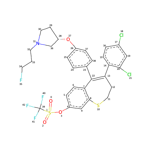 O=S(=O)(Oc1ccc2c(c1)SCCC(c1ccc(Cl)cc1Cl)=C2c1ccc(O[C@H]2CCN(CCCF)C2)cc1)C(F)(F)F